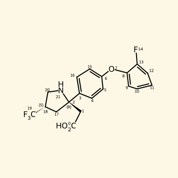 O=C(O)C[C@@]1(c2ccc(Oc3ccccc3F)cc2)C[C@H](C(F)(F)F)CN1